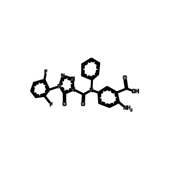 Nc1ccc(N(C(=O)n2nnn(-c3c(F)cccc3F)c2=O)c2ccccc2)cc1C(=O)O